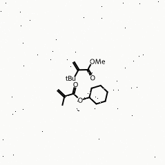 C=C(C(=O)OC)C(C)(C)C.C=C(C)C(=O)OC1CCCCC1